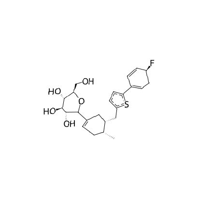 C[C@@H]1CC=C(C2O[C@H](CO)[C@@H](O)[C@H](O)[C@H]2O)C[C@@H]1Cc1ccc(C2=CC[C@H](F)C=C2)s1